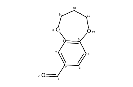 O=Cc1ccc2c(c1)OCCCO2